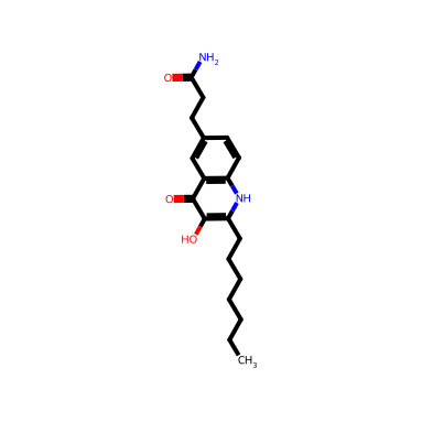 CCCCCCCc1[nH]c2ccc(CCC(N)=O)cc2c(=O)c1O